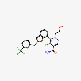 COCCN1CC=C(C(N)=O)C(F)=C1c1cccc2cc(Cc3cccc(C(F)(F)F)c3)sc12